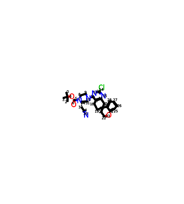 CC(C)(C)OC(=O)N1CCN(c2nc(Cl)nc3c2CCC2(CCOc4ccccc42)C3)C[C@@H]1CC#N